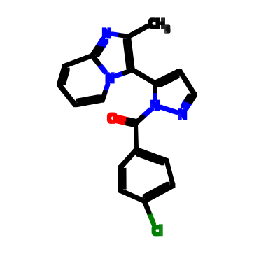 Cc1nc2ccccn2c1-c1ccnn1C(=O)c1ccc(Cl)cc1